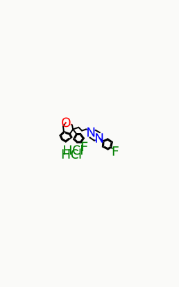 Cl.Cl.Fc1ccc(N2CCN(CCCC3(c4ccc(F)cc4)COCc4ccccc43)CC2)cc1